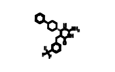 NC1NC(=O)C(Cc2cccc(C(F)(F)F)c2)=C([C@H]2CC[C@H](c3ccccc3)CC2)N1